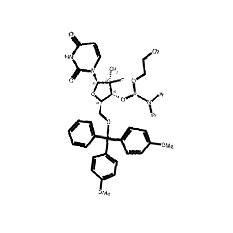 COc1ccc(C(OC[C@H]2O[C@@H](n3ccc(=O)[nH]c3=O)[C@@](C)(F)[C@@H]2OP(OCCC#N)N(C(C)C)C(C)C)(c2ccccc2)c2ccc(OC)cc2)cc1